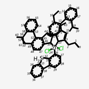 CCCC1=Cc2c(ccc(CC)c2-c2ccccc2C(C)C)[CH]1[Zr]([Cl])([Cl])([c]1cccc2c1[SiH2]c1ccccc1-2)[CH]1C(CCC)=Cc2c1ccc(CC)c2-c1ccccc1C(C)C